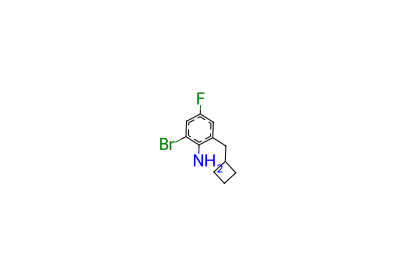 Nc1c(Br)cc(F)cc1CC1CCC1